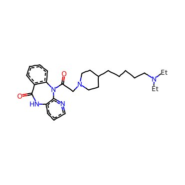 CCN(CC)CCCCCC1CCN(CC(=O)N2c3ccccc3C(=O)Nc3cccnc32)CC1